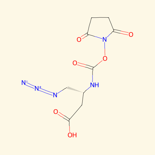 [N-]=[N+]=NC[C@@H](CC(=O)O)NC(=O)ON1C(=O)CCC1=O